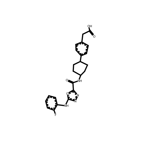 O=C(O)Cc1ccc(C2CCC(NC(=O)c3nnc(Nc4ccccc4F)o3)CC2)cc1